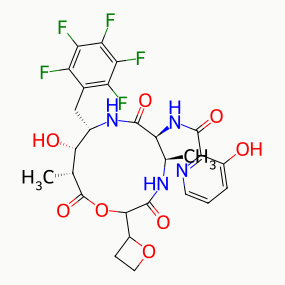 C[C@H]1NC(=O)C(C2CCO2)OC(=O)[C@H](C)[C@H](O)[C@H](Cc2c(F)c(F)c(F)c(F)c2F)NC(=O)[C@H]1NC(=O)c1ncccc1O